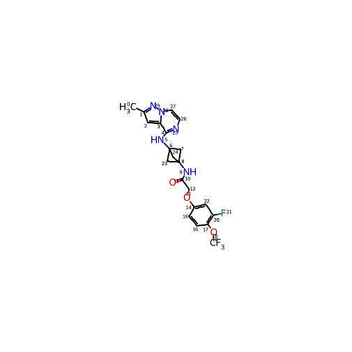 Cc1cc2c(NC34CC(NC(=O)COc5ccc(OC(F)(F)F)c(F)c5)(C3)C4)nccn2n1